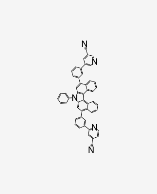 N#Cc1cncc(-c2cccc(-c3cc4c(c5ccccc35)c3c5ccccc5c(-c5cccc(-c6cc(C#N)ccn6)c5)cc3n4-c3ccccc3)c2)c1